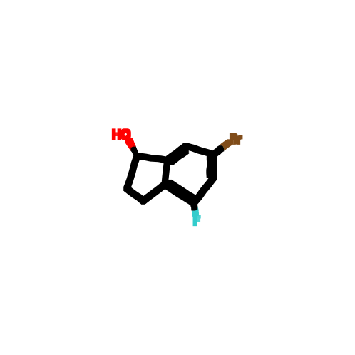 O[C@@H]1CCc2c(F)cc(Br)cc21